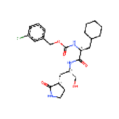 O=C(N[C@@H](CC1CCCCC1)C(=O)N[C@H](CO)C[C@@H]1CCNC1=O)OCc1cccc(Cl)c1